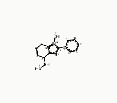 ONC1CCCc2c1nc(-c1ccccc1)n2O